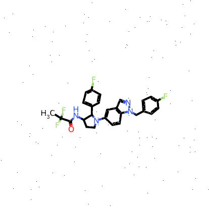 CC(F)(F)C(=O)NC1CCN(c2ccc3c(cnn3Cc3ccc(F)cc3)c2)C1c1ccc(F)cc1